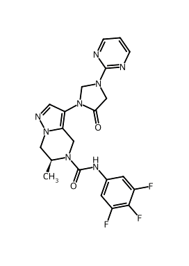 C[C@H]1Cn2ncc(N3CN(c4ncccn4)CC3=O)c2CN1C(=O)Nc1cc(F)c(F)c(F)c1